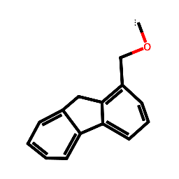 [C]OCc1cccc2c1Cc1ccccc1-2